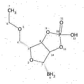 B[C@@H]1O[C@H](COCC)C2OP(=O)(O)OC21